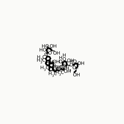 C[C@H](C(O)C[C@@H](O[C@@H]1O[C@H](CO[C@@H]2O[C@H](CCO)C[C@H](O)[C@H]2O)[C@@H](O)[C@H](O)[C@H]1O)C(C)(C)O)[C@H]1CC[C@@]2(C)[C@@H]3CC=C4[C@@H](CC[C@H](O[C@@H]5O[C@H](CO)[C@@H](O)[C@H](O)[C@H]5O)C4(C)C)[C@]3(C)[C@H](O)C[C@]12C